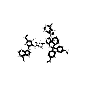 [BH3-][P+](C)(OC[C@H]1O[C@@H](n2cnc3c(C)ncnc32)[C@@H](F)C1OC(c1ccccc1)(c1ccc(OC)cc1)c1ccc(OC)cc1)OC1C(n2cnc3c(C)ncnc32)OC(CC)[C@@H]1F